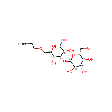 CCCCCCCCCCCCOC[C@@H](O)[C@@H](O)[C@@H](O[C@H]1O[C@H](CO)[C@@H](O)[C@H](O)[C@H]1O)[C@H](O)CO